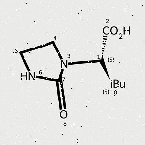 CC[C@H](C)[C@@H](C(=O)O)N1CCNC1=O